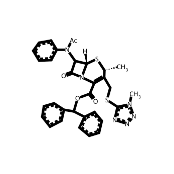 CC(=O)N(c1ccccc1)C1C(=O)N2C(C(=O)OC(c3ccccc3)c3ccccc3)=C(CSc3nnnn3C)[C@@H](C)S[C@@H]12